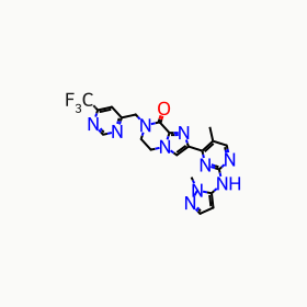 Cc1cnc(Nc2ccnn2C)nc1-c1cn2c(n1)C(=O)N(Cc1cc(C(F)(F)F)ncn1)CC2